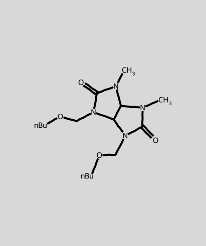 CCCCOCN1C(=O)N(C)C2C1N(COCCCC)C(=O)N2C